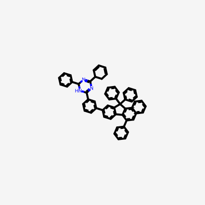 C1=CCC(C2=NC(c3ccccc3)NC(c3cccc(-c4ccc5c(c4)C(c4ccccc4)(c4ccccc4)c4c-5c(-c5ccccc5)cc5ccccc45)c3)=N2)C=C1